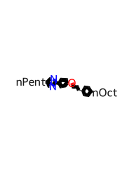 CCCCCCCC[C@H]1CC[C@H](CCCOc2ccc(-c3ncc(CCCCC)cn3)cc2)CC1